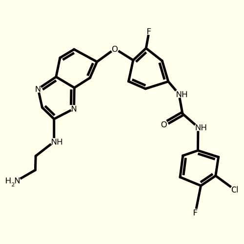 NCCNc1cnc2ccc(Oc3ccc(NC(=O)Nc4ccc(F)c(Cl)c4)cc3F)cc2n1